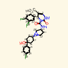 O=C(O)C1=CNC(=O)N(C(=O)N[C@@H]2CCN(C3CCC(O)(c4ccc(F)cc4)CC3)C2)[C@H]1c1ccc(F)c(F)c1